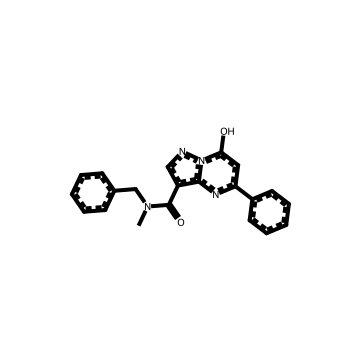 CN(Cc1ccccc1)C(=O)c1cnn2c(O)cc(-c3ccccc3)nc12